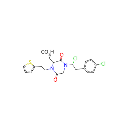 O=C(O)CC1C(=O)N(C(Cl)Cc2ccc(Cl)cc2)CC(=O)N1CCc1cccs1